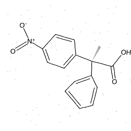 C[C@](C(=O)O)(c1ccccc1)c1ccc([N+](=O)[O-])cc1